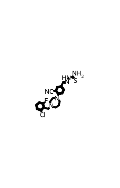 N#Cc1cc(C=NNC(N)=S)ccc1N1CCCN(Cc2c(F)cccc2Cl)CC1